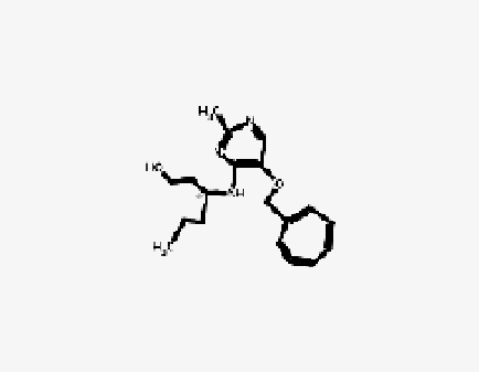 CCC[C@@H](CCO)Nc1nc(C)ncc1OCC1=CC=CC=C=C1